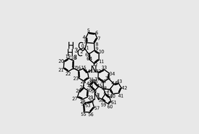 CC1(C)c2ccccc2-c2ccc(N(c3cc(-c4ccccc4)cc(-c4ccccc4)c3)c3ccc4c(c3)C3(c5ccccc5-4)c4ccccc4N(c4ccccc4)c4ccccc43)cc21